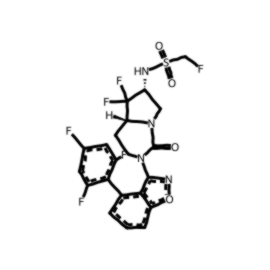 O=C1N(c2noc3cccc(-c4c(F)cc(F)cc4F)c23)CC[C@H]2N1C[C@@H](NS(=O)(=O)CF)C2(F)F